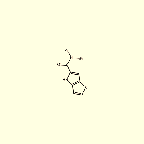 CC(C)N(C(=O)c1cc2sccc2[nH]1)C(C)C